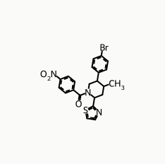 CC1CC(c2nccs2)N(C(=O)c2ccc([N+](=O)[O-])cc2)CC1c1ccc(Br)cc1